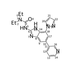 CCN(CC)C(=O)Nc1nc2cc(-c3cccnc3)cc(-n3cccn3)c2[nH]1